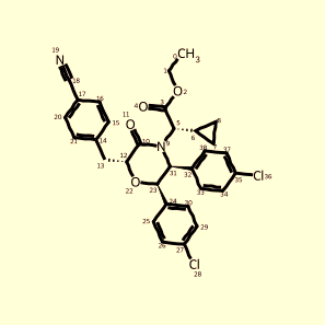 CCOC(=O)[C@H](C1CC1)N1C(=O)[C@@H](Cc2ccc(C#N)cc2)O[C@H](c2ccc(Cl)cc2)[C@@H]1c1ccc(Cl)cc1